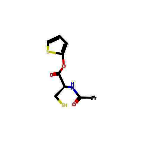 CC(C)C(=O)N[C@@H](CS)C(=O)Oc1cccs1